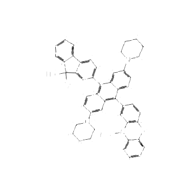 CN1c2ccccc2Sc2ccc(-c3c4ccc(N5CCCCC5)cc4c(-c4ccc5c(c4)C(C)(C)c4ccccc4-5)c4ccc(N5CCCCC5)cc34)cc21